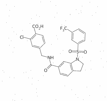 O=C(NCc1ccc(C(=O)O)c(Cl)c1)c1ccc2c(c1)N(S(=O)(=O)c1cccc(C(F)(F)F)c1)CC2